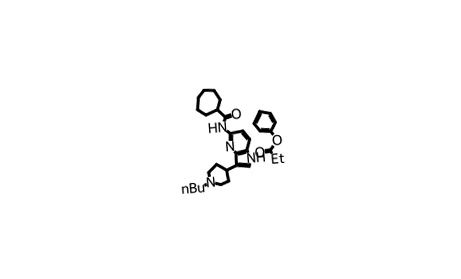 CCC(=O)Oc1ccccc1.CCCCN1CCC(c2c[nH]c3ccc(NC(=O)C4CCCCCC4)nc23)CC1